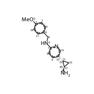 COc1ccc(CNc2ccc([C@@H]3C[C@H]3N)cn2)cc1